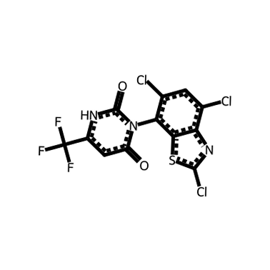 O=c1cc(C(F)(F)F)[nH]c(=O)n1-c1c(Cl)cc(Cl)c2nc(Cl)sc12